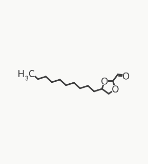 CCCCCCCCCCC1COC(C=O)O1